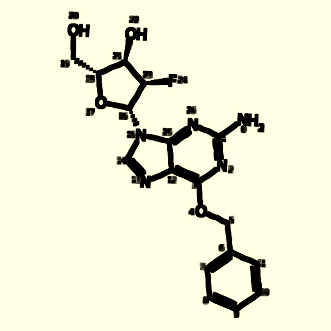 Nc1nc(OCc2ccccc2)c2ncn([C@@H]3O[C@H](CO)[C@@H](O)[C@H]3F)c2n1